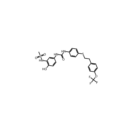 CS(=O)(=O)Nc1cc(NC(=O)Nc2ccc(SCCc3ccc(OC(F)(F)F)cc3)cc2)ccc1O